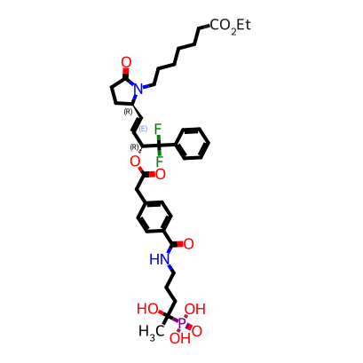 CCOC(=O)CCCCCCN1C(=O)CC[C@@H]1/C=C/[C@@H](OC(=O)Cc1ccc(C(=O)NCCCC(C)(O)P(=O)(O)O)cc1)C(F)(F)c1ccccc1